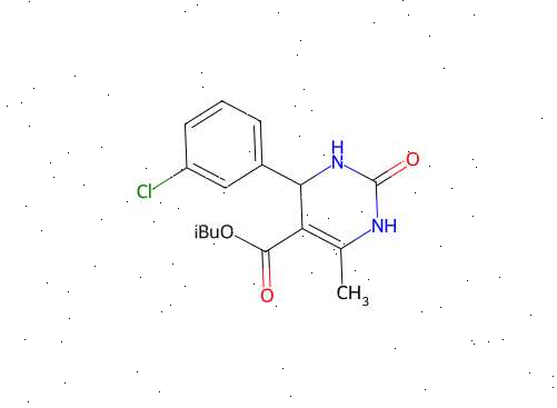 CC1=C(C(=O)OCC(C)C)C(c2cccc(Cl)c2)NC(=O)N1